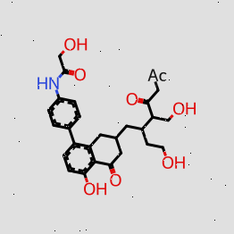 CC(=O)CC(=O)C(CO)C(CCO)CC1CC(=O)c2c(O)ccc(-c3ccc(NC(=O)CO)cc3)c2C1